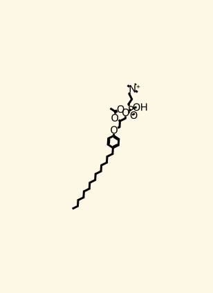 CCCCCCCCCCCCCCc1ccc(OCC(COP(=O)(O)CCC[N+](C)(C)C)OC(C)=O)cc1